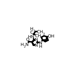 CCC(C)(C)Nc1nc(NC23CCC(O)(CC2)C3)ncc1C(N)=O